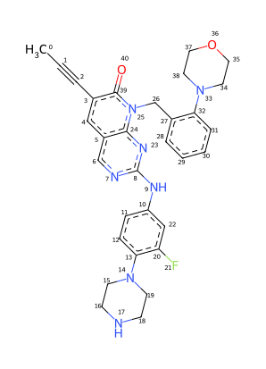 CC#Cc1cc2cnc(Nc3ccc(N4CCNCC4)c(F)c3)nc2n(Cc2ccccc2N2CCOCC2)c1=O